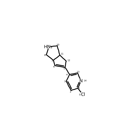 Clc1ccc(C2=CC3CNCC3C2)cn1